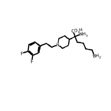 BCCCCC(N)(C(=O)O)C1CCN(CCc2ccc(F)c(F)c2)CC1